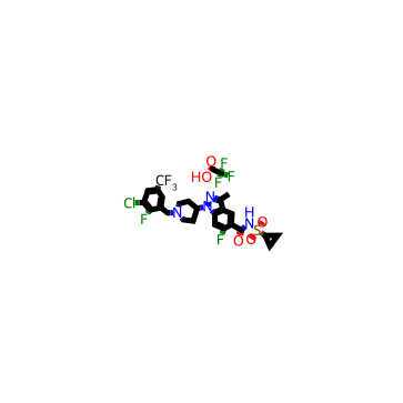 Cc1nn(C2CCN(Cc3cc(C(F)(F)F)cc(Cl)c3F)CC2)c2cc(F)c(C(=O)NS(=O)(=O)C3CC3)cc12.O=C(O)C(F)(F)F